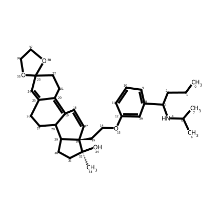 CCCC(NC(C)C)c1cccc(OCC[C@]23C=CC4=C5CCC6(C=C5CCC4C2CC[C@]3(C)O)OCCO6)c1